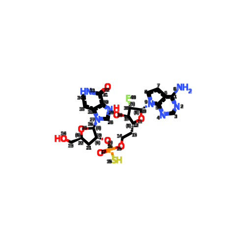 Nc1ncnc2c1ccn2[C@@H]1O[C@H](CCOP(=O)(S)O[C@@H]2C[C@@H](CO)O[C@H]2n2cnc3c(=O)[nH]ccc32)[C@@H](O)[C@@H]1F